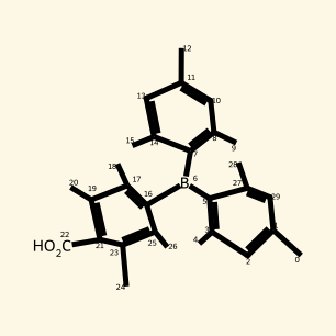 Cc1cc(C)c(B(c2c(C)cc(C)cc2C)c2c(C)c(C)c(C(=O)O)c(C)c2C)c(C)c1